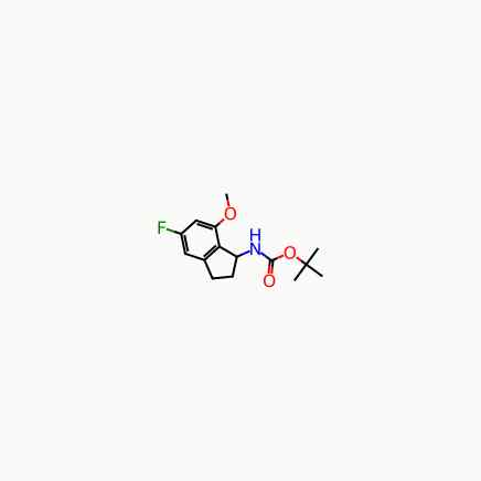 COc1cc(F)cc2c1C(NC(=O)OC(C)(C)C)CC2